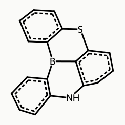 c1ccc2c(c1)Nc1cccc3c1B2c1ccccc1S3